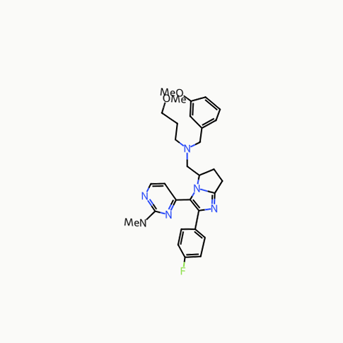 CNc1nccc(-c2c(-c3ccc(F)cc3)nc3n2C(CN(CCCOC)Cc2cccc(OC)c2)CC3)n1